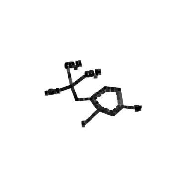 CCCCCCCCC(Cc1ccc(Br)cc1F)(C(=O)O)C(=O)O